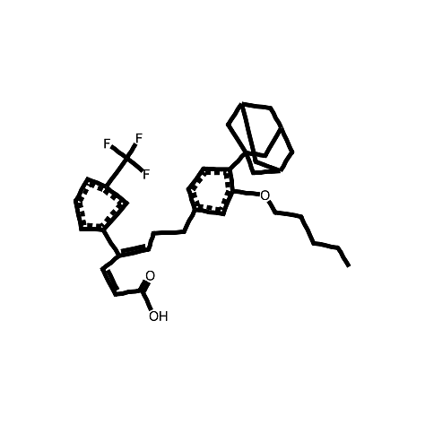 CCCCCOc1cc(CC/C=C(/C=C\C(=O)O)c2cccc(C(F)(F)F)c2)ccc1C12CC3CC(CC(C3)C1)C2